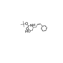 CC(C)(C)OC(=O)N[C@H](CO)C/C=C\c1ccccc1